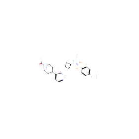 CC(=O)N1CCC(c2cccnc2O[C@H]2C[C@H](NS(=O)(=O)c3ccc(C)cc3)C2)CC1